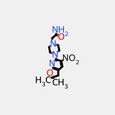 CC1(C)Cc2cc([N+](=O)[O-])c(N3CCN(CC(N)=O)CC3)nc2O1